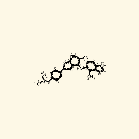 Cc1c(Nc2c(C#N)cnc3sc(-c4ccc(CN(C)C)cc4)cc23)ccc2[nH]ccc12